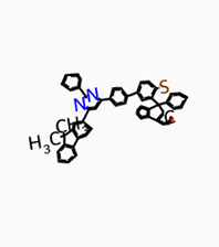 CC1(C)c2ccccc2-c2ccc(-c3cc(-c4ccc(-c5ccc6c(c5)C5(c7ccccc7S6)c6ccccc6-c6ccccc65)cc4)nc(-c4ccccc4)n3)cc21